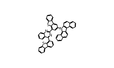 c1ccc2c(c1)ccc1c2c2ccc3ccccc3c2n1-c1cc(-c2nc(-c3cccc4c3sc3ccccc34)c3ccccc3n2)c2sc3ccccc3c2c1